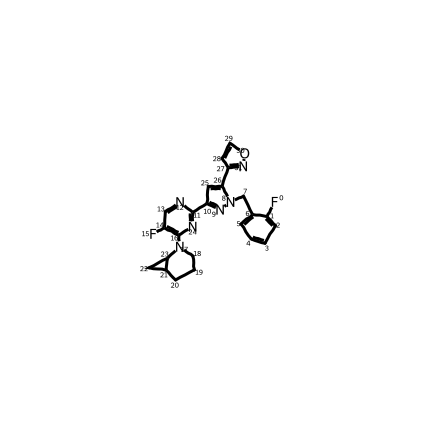 Fc1ccccc1Cn1nc(-c2ncc(F)c(N3CCCC4CC43)n2)cc1-c1ccon1